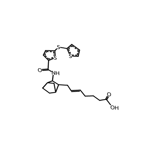 O=C(O)CCCC=CCC1C2CCC(C2)C1NC(=O)c1ccc(Sc2cccs2)s1